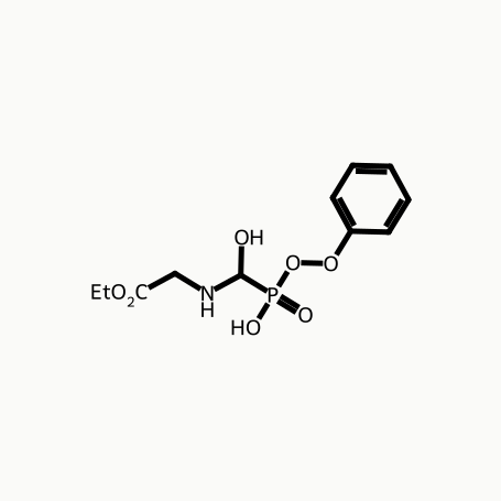 CCOC(=O)CNC(O)P(=O)(O)OOc1ccccc1